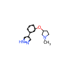 CN1CCC(Oc2cccc(-c3cn[nH]c3)c2)C1